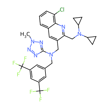 Cn1nnc(N(Cc2cc(C(F)(F)F)cc(C(F)(F)F)c2)Cc2cc3cccc(Cl)c3nc2CN(C2CC2)C2CC2)n1